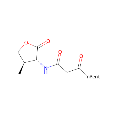 CCCCCC(=O)CC(=O)N[C@H]1C(=O)OC[C@@H]1C